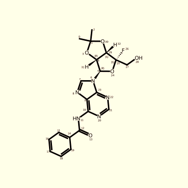 CC1(C)O[C@H]2[C@H](n3cnc4c(NC(=O)c5ccccc5)ncnc43)O[C@](F)(CO)[C@H]2O1